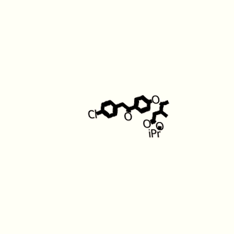 CC(C)OC(=O)CC(C)C(C)Oc1ccc(C(=O)Cc2ccc(Cl)cc2)cc1